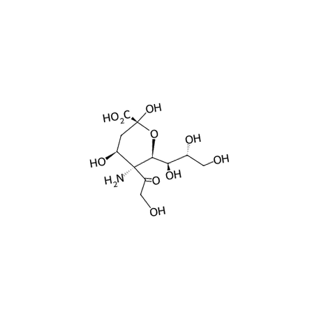 N[C@]1(C(=O)CO)[C@@H](O)C[C@@](O)(C(=O)O)O[C@H]1[C@H](O)[C@H](O)CO